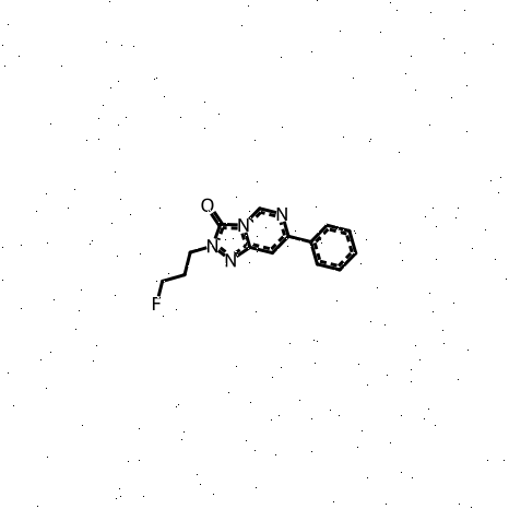 O=c1n(CCCF)nc2cc(-c3ccccc3)ncn12